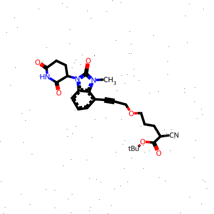 Cn1c(=O)n(C2CCC(=O)NC2=O)c2cccc(C#CCOCCCC(C#N)C(=O)OC(C)(C)C)c21